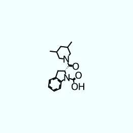 CC1CC(C)CN(C(=O)[C@H]2Cc3ccccc3N2C(=O)O)C1